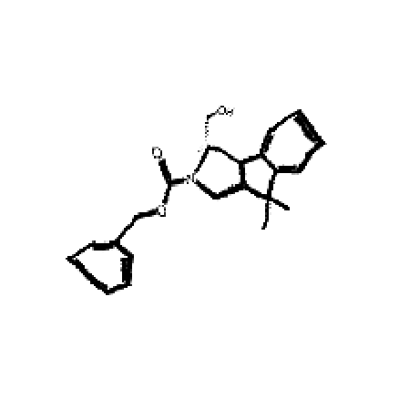 CC1(C)c2ccccc2C2C1CN(C(=O)OCc1ccccc1)[C@@H]2CO